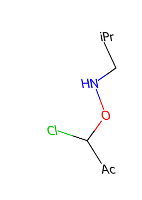 CC(=O)C(Cl)ONCC(C)C